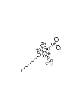 CCCCCCCCCCCCCC(=O)O[C@H]1[C@H](O)[C@@H](CO)O[C@H](OCCOP(c2ccccc2)c2ccccc2)[C@H]1NC(=O)OCC(Cl)(Cl)Cl